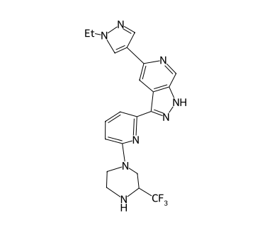 CCn1cc(-c2cc3c(-c4cccc(N5CCNC(C(F)(F)F)C5)n4)n[nH]c3cn2)cn1